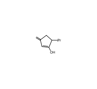 C=C1C=C(O)C(C(C)C)C1